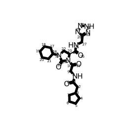 O=C(CC1CCCC1)NCC(=O)N1C(=O)N(C2CCCCC2)C[C@H]1C(=O)NCc1nn[nH]n1